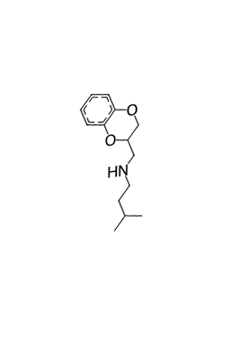 CC(C)CCNCC1COc2ccccc2O1